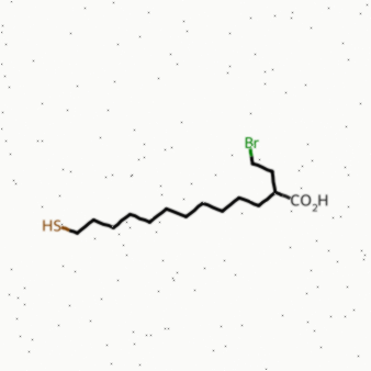 O=C(O)C(CCBr)CCCCCCCCCCCS